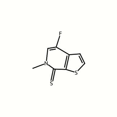 Cn1cc(F)c2ccsc2c1=S